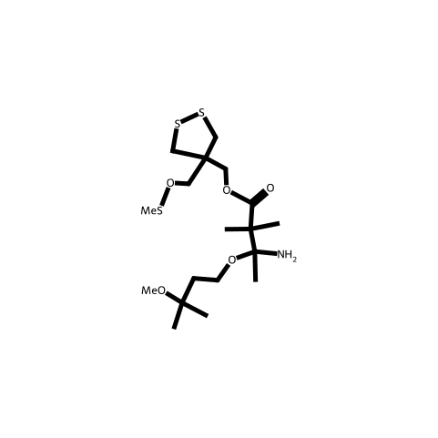 COC(C)(C)CCOC(C)(N)C(C)(C)C(=O)OCC1(COSC)CSSC1